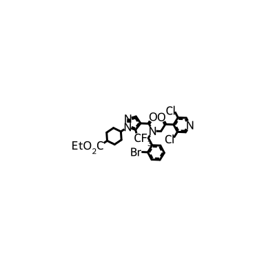 CCOC(=O)C1CCC(n2ncc(C(=O)N(CC(=O)c3c(Cl)cncc3Cl)Cc3ccccc3Br)c2C(F)(F)F)CC1